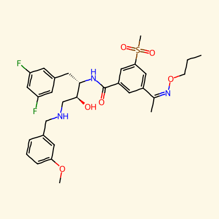 CCCO/N=C(/C)c1cc(C(=O)N[C@@H](Cc2cc(F)cc(F)c2)[C@@H](O)CNCc2cccc(OC)c2)cc(S(C)(=O)=O)c1